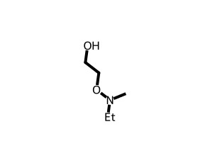 CCN(C)OCCO